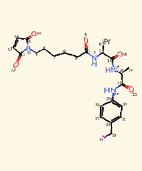 CC(C)[C@H](NC(=O)CCCCCN1C(=O)C=CC1=O)C(=O)N[C@@H](C)C(=O)Nc1ccc(CI)cc1